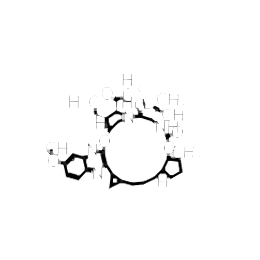 CC[C@@H]1[C@@H]2CN(C(=O)[C@H](C(C)(C)C)NC(=O)O[C@]3(C)CCC[C@H]3CCCC3CC3c3nc4ccc(OC)cc4nc3O2)[C@@H]1C(C)=O